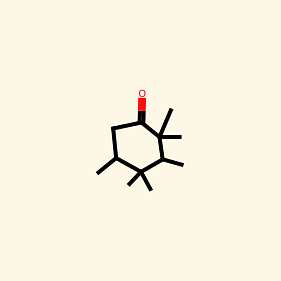 CC1CC(=O)C(C)(C)C(C)C1(C)C